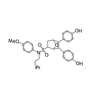 COc1ccc(N(CCC(C)C)S(=O)(=O)C2CC3OC2C(c2ccc(O)cc2)=C3c2ccc(O)cc2)cc1